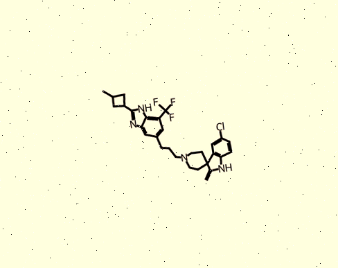 C=C1Nc2ccc(Cl)cc2C12CCN(CCCc1cc(C(F)(F)F)c3[nH]c(C4CC(C)C4)nc3c1)CC2